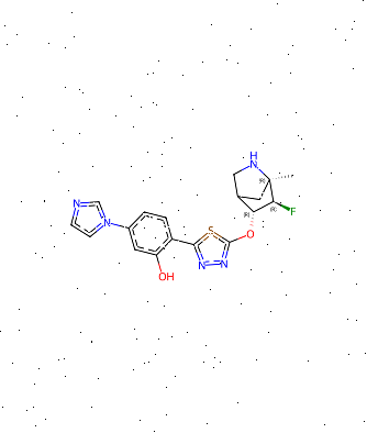 C[C@]12CC(CN1)[C@@H](Oc1nnc(-c3ccc(-n4ccnc4)cc3O)s1)[C@@H]2F